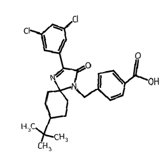 CC(C)(C)C1CCC2(CC1)N=C(c1cc(Cl)cc(Cl)c1)C(=O)N2Cc1ccc(C(=O)O)cc1